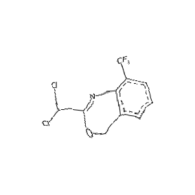 FC(F)(F)c1cccc2c1N=C(C(Cl)Cl)OC2